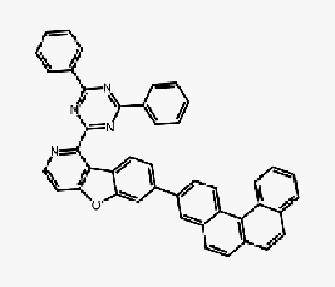 c1ccc(-c2nc(-c3ccccc3)nc(-c3nccc4oc5cc(-c6ccc7c(ccc8ccc9ccccc9c87)c6)ccc5c34)n2)cc1